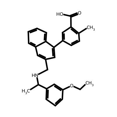 CCOc1cccc(C(C)NCc2cc(-c3ccc(C)c(C(=O)O)c3)c3ccccc3c2)c1